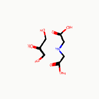 O=C(O)CNCC(=O)O.OCC(O)CO